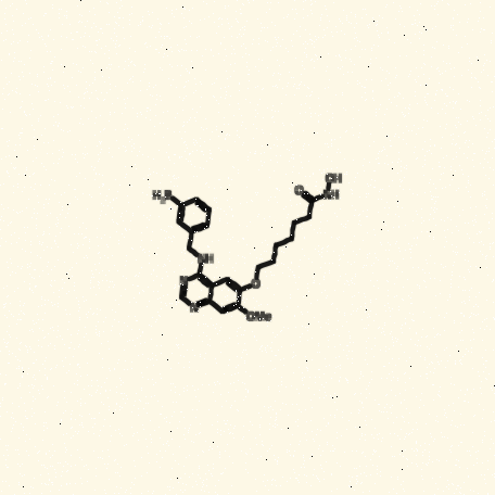 Bc1cccc(CNc2ncnc3cc(OC)c(OCCCCCCC(=O)NO)cc23)c1